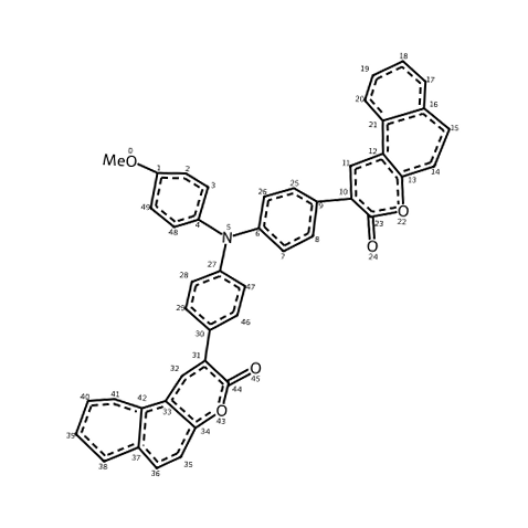 COc1ccc(N(c2ccc(-c3cc4c(ccc5ccccc54)oc3=O)cc2)c2ccc(-c3cc4c(ccc5ccccc54)oc3=O)cc2)cc1